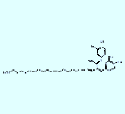 CCCCCCCCCCCCCCCCCCCCCCCCCCCCC=CC(=Nc1ccc(CCCC)c(CCCC)c1)C(CCCC)=Nc1ccc(CCCC)c(CCCC)c1